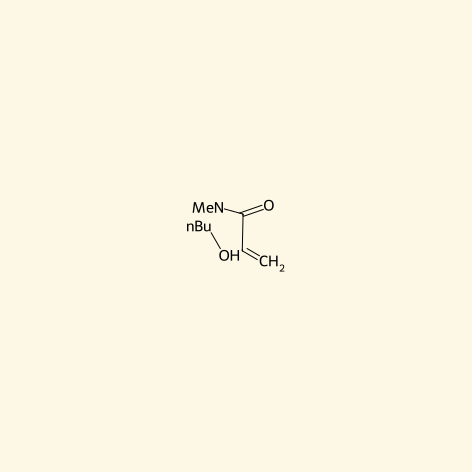 C=CC(=O)NC.CCCCO